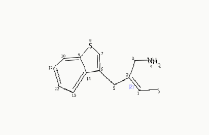 C/C=C(\CN)Cc1csc2ccccc12